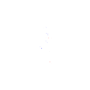 NC1(CN(CC2CC2)S(=O)(=O)N2C[C@H](CCCB(O)O)[C@](N)(C(=O)O)C2)CC1